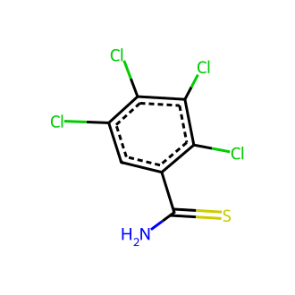 NC(=S)c1cc(Cl)c(Cl)c(Cl)c1Cl